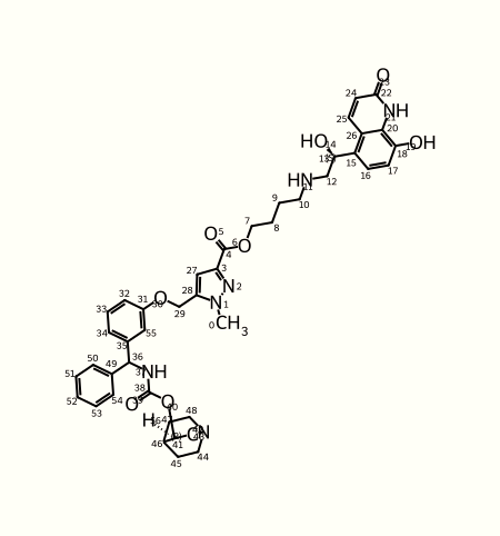 Cn1nc(C(=O)OCCCCNC[C@@H](O)c2ccc(O)c3[nH]c(=O)ccc23)cc1COc1cccc(C(NC(=O)O[C@H]2CN3CCC2CC3)c2ccccc2)c1